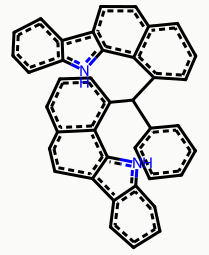 c1ccc(C(c2cccc3ccc4c5ccccc5[nH]c4c23)c2cccc3ccc4c5ccccc5[nH]c4c23)cc1